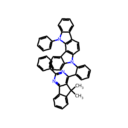 CC1(C)c2ccccc2-c2nc(-c3ccccc3)nc(-c3ccccc3-n3c4ccccc4c4c3ccc3c5ccccc5n(-c5ccccc5)c34)c21